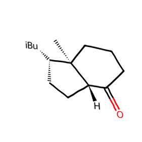 CC[C@@H](C)[C@H]1CC[C@H]2C(=O)CCC[C@]12C